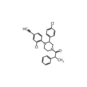 C#Cc1ccc(N2CCN(C(=O)C(C)c3ccccc3)CC2c2ccc(Cl)cc2)c(Cl)c1